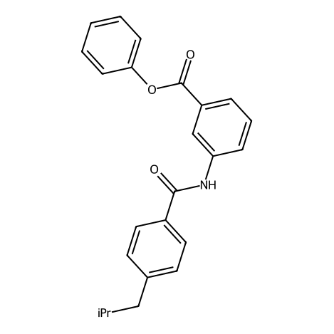 CC(C)Cc1ccc(C(=O)Nc2cccc(C(=O)Oc3ccccc3)c2)cc1